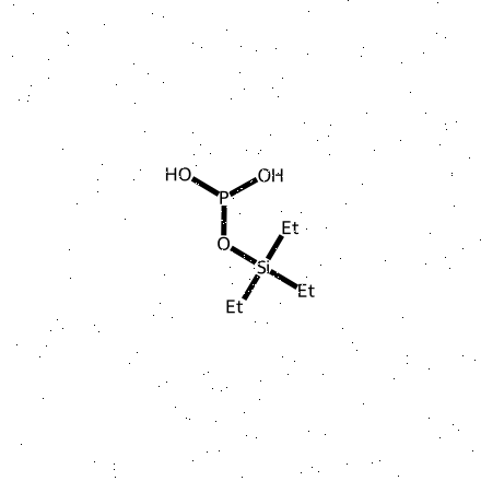 CC[Si](CC)(CC)OP(O)O